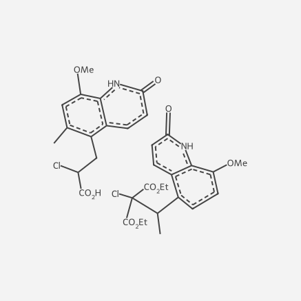 CCOC(=O)C(Cl)(C(=O)OCC)C(C)c1ccc(OC)c2[nH]c(=O)ccc12.COc1cc(C)c(CC(Cl)C(=O)O)c2ccc(=O)[nH]c12